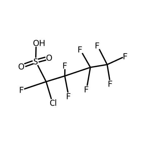 O=S(=O)(O)C(F)(Cl)C(F)(F)C(F)(F)C(F)(F)F